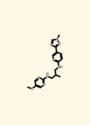 CSc1cnc(NCC(C)CNc2ccc(-c3ncn(C)n3)cn2)nc1